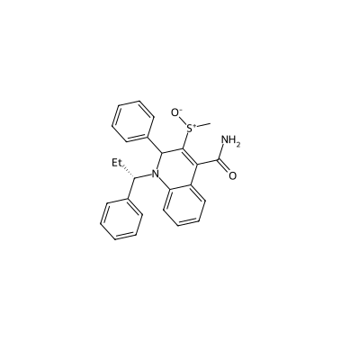 CC[C@@H](c1ccccc1)N1c2ccccc2C(C(N)=O)=C([S+](C)[O-])C1c1ccccc1